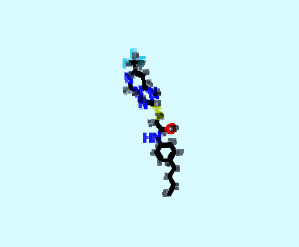 CCCCc1ccc(NC(=O)CSc2nc3cc(C(F)(F)F)ncn3n2)cc1